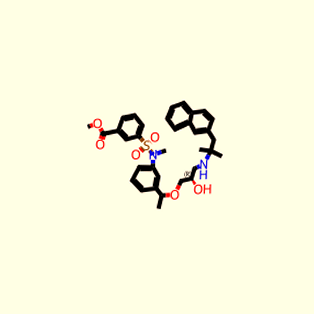 COC(=O)c1cccc(S(=O)(=O)N(C)c2cccc(C(C)OC[C@H](O)CNC(C)(C)Cc3ccc4ccccc4c3)c2)c1